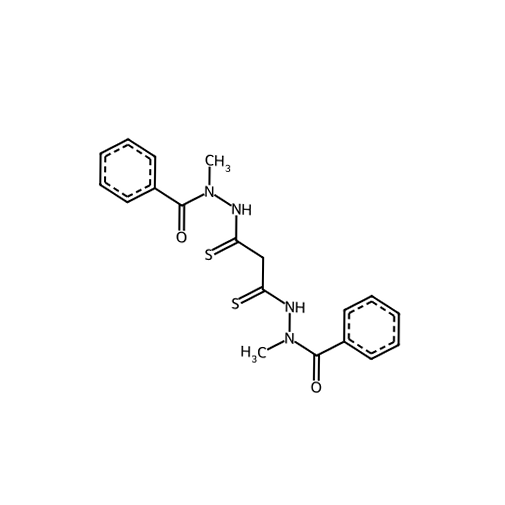 CN(NC(=S)CC(=S)NN(C)C(=O)c1ccccc1)C(=O)c1ccccc1